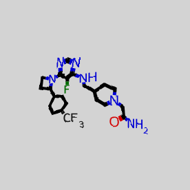 NC(=O)CN1CCC(CNc2ncnc(N3CCC3C3CCC(C(F)(F)F)CC3)c2F)CC1